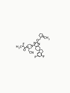 C=C(F)C(=O)N1CCN(c2nc(OCC3CCCN3C)nc3c2CCC2(CCc4c(F)cc(F)cc42)C3)CC1CC#N